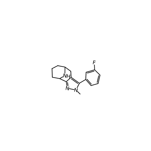 Cn1nc2c(c1-c1cccc(F)c1)CC1CCCC2N1